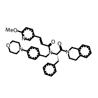 COc1ccc(/C=C/C(=O)N(Cc2ccc(N3CCOCC3)cc2)[C@@H](Cc2ccccc2)C(=O)N2CCc3ccccc3C2)cn1